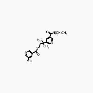 CN(O)C(=O)c1cncc(C(C)(C)CCOC(=O)c2cncc(C(C)(C)C)c2)c1